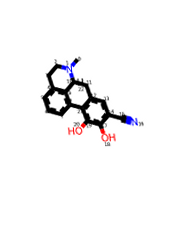 CN1CCc2cccc3c2[C@H]1Cc1cc(C#N)c(O)c(O)c1-3